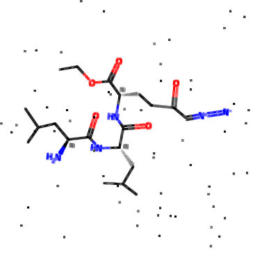 CCOC(=O)[C@H](CCC(=O)C=[N+]=[N-])NC(=O)[C@H](CC(C)C)NC(=O)[C@@H](N)CC(C)C